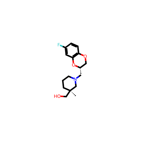 C[C@]1(CO)CCCN(C[C@H]2COc3ccc(F)cc3O2)C1